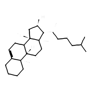 CC(C)CCC[C@@H](C)[C@H]1[C@H](O)C[C@H]2[C@@H]3CC=C4CCCC[C@]4(C)[C@H]3CC[C@]12C